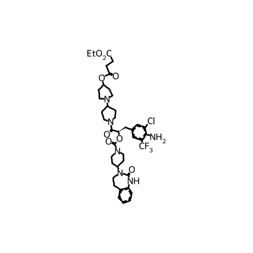 CCOC(=O)CCC(=O)OC1CCN(C2CCN(C(=O)[C@@H](Cc3cc(Cl)c(N)c(C(F)(F)F)c3)OC(=O)N3CCC(N4CCc5ccccc5NC4=O)CC3)CC2)CC1